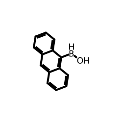 OBc1c2ccccc2cc2ccccc12